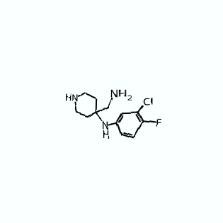 NCC1(Nc2ccc(F)c(Cl)c2)CCNCC1